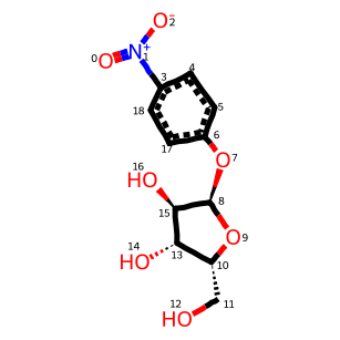 O=[N+]([O-])c1ccc(O[C@H]2O[C@H](CO)[C@H](O)[C@H]2O)cc1